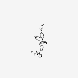 C=CCOc1ccc(-c2nc3cc(C(N)=O)ccc3[nH]2)c(OC)c1